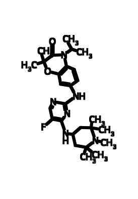 CC(C)N1C(=O)C(C)(C)Oc2cc(Nc3ncc(F)c(NC4CC(C)(C)N(C)C(C)(C)C4)n3)ccc21